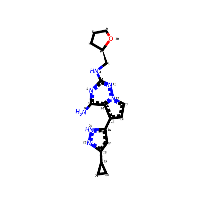 Nc1nc(NC[C@H]2CCCO2)nn2ccc(-c3cc(C4CC4)n[nH]3)c12